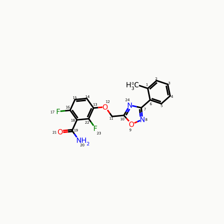 Cc1ccccc1-c1noc(COc2ccc(F)c(C(N)=O)c2F)n1